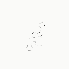 COC(=O)[C@@](C)(Cc1cccc(F)c1)c1c(Cl)cnc2c(-c3ccc(C(F)(F)F)cc3)cnn12